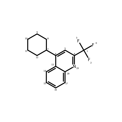 FC(F)(F)c1cc(C2CC[CH]CC2)c2ccccc2n1